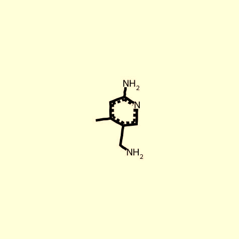 Cc1cc(N)ncc1CN